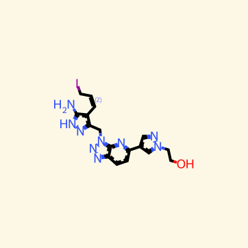 Nc1[nH]nc(Cn2nnc3ccc(-c4cnn(CCO)c4)nc32)c1/C=C\CI